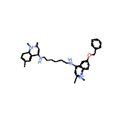 CC1=CCC2C(=C1)C(NCCCCCCNc1cc(C)[n+](C)c3ccc(OCc4ccccc4)cc13)=CC(C)=[N+]2C